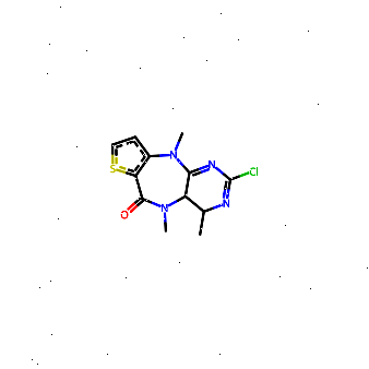 CC1N=C(Cl)N=C2C1N(C)C(=O)c1sccc1N2C